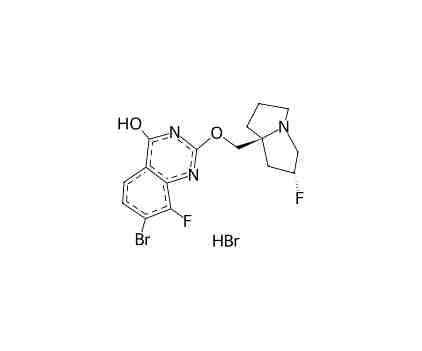 Br.Oc1nc(OC[C@@]23CCCN2C[C@H](F)C3)nc2c(F)c(Br)ccc12